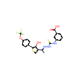 C/C(=N\NC(=S)Nc1cccc(C(=O)O)c1)c1csc(-c2ccc(OC(F)(F)F)cc2)c1O